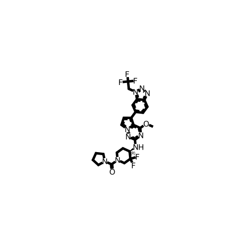 COc1nc(N[C@@H]2CCN(C(=O)N3CCCC3)CC2(F)F)nn2ccc(-c3ccc4nnn(CC(F)(F)F)c4c3)c12